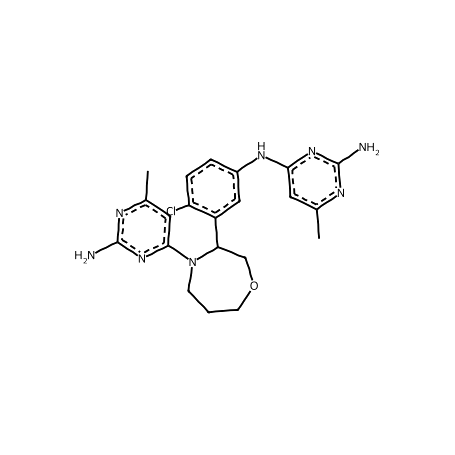 Cc1cc(Nc2ccc(Cl)c(C3COCCCN3c3cc(C)nc(N)n3)c2)nc(N)n1